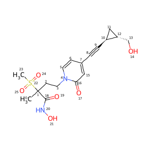 CC(CCn1ccc(C#C[C@H]2C[C@@H]2CO)cc1=O)(C(=O)NO)S(C)(=O)=O